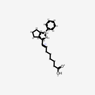 O=C(O)CCCCC/C=C/c1nn(-c2ccccc2)c2c1CCC2